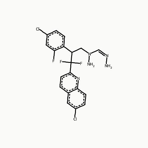 N/N=C\N(N)CC(c1ccc(Cl)cc1F)C(F)(F)c1ccc2cc(Cl)ccc2n1